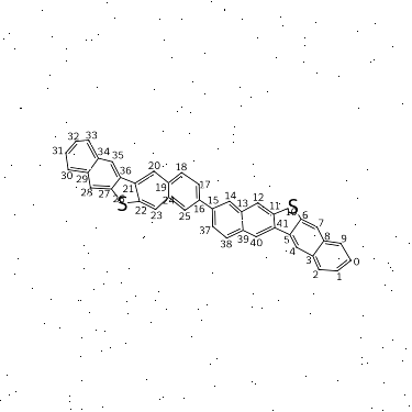 c1ccc2cc3c(cc2c1)sc1cc2cc(-c4ccc5cc6c(cc5c4)sc4cc5ccccc5cc46)ccc2cc13